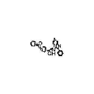 O=C(CNc1c(-c2ccccc2)nc2cnccn12)N1CCN(CC(=O)N2CCCCC2)CC1